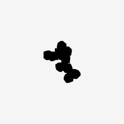 c1ccc(-c2nc(-c3ccc4ccccc4c3)nc(-c3cc(-n4c5ccccc5c5cc(-n6c7ccccc7c7ccccc76)ccc54)ccc3-c3ccccc3)n2)cc1